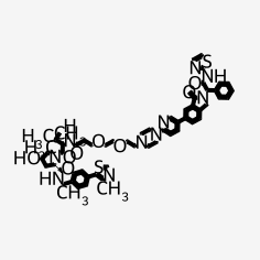 Cc1ncsc1-c1ccc([C@H](C)NC(=O)[C@@H]2C[C@@H](O)CN2C(=O)C(NC(=O)CCOCCOCCN2CCN(c3ccc(-c4ccc5c(c4)C(=O)N(C(C(=O)Nc4nccs4)c4ccccc4)C5)cn3)CC2)C(C)(C)C)cc1